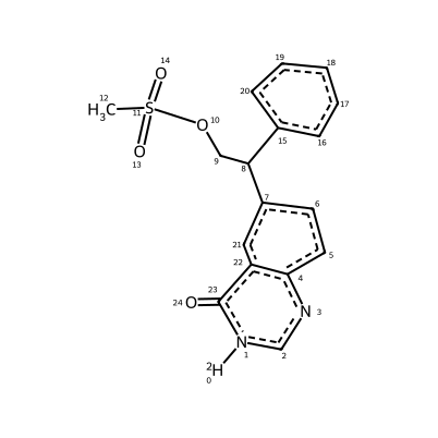 [2H]n1cnc2ccc(C(COS(C)(=O)=O)c3ccccc3)cc2c1=O